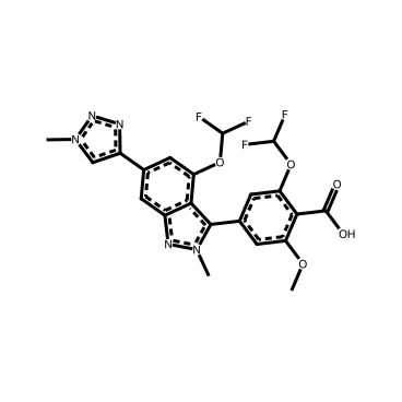 COc1cc(-c2c3c(OC(F)F)cc(-c4cn(C)nn4)cc3nn2C)cc(OC(F)F)c1C(=O)O